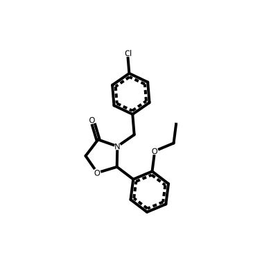 CCOc1ccccc1C1OCC(=O)N1Cc1ccc(Cl)cc1